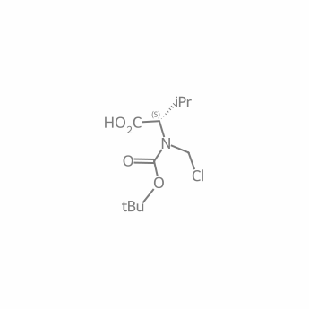 CC(C)[C@@H](C(=O)O)N(CCl)C(=O)OC(C)(C)C